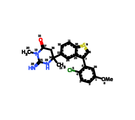 COc1ccc(Cl)c(-c2csc3ccc(C4(C)CC(=O)N(C)C(=N)N4)cc23)c1